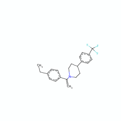 C=C(c1ccc(CC)cc1)N1CCC(c2ccc(C(F)(F)F)cc2)CC1